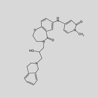 Cn1ccc(Nc2ccc3c(c2)C(=O)N(CC(O)CN2CCc4ccccc4C2)CCO3)cc1=O